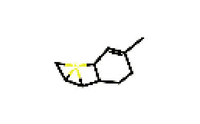 CC1=CC2C(CC1)C1C3CS231